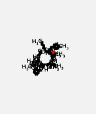 CCCCCC[C@H]1OC(=O)CNC(=O)[C@H]([C@H](C)O[Si](C)(C)C(C)(C)C)NC(=O)[C@H](COCc2ccccc2)NC(=O)[C@H]([C@H](C)CC)NC(=O)[C@H](CC(C)C)N(C)C(=O)[C@@H]1C/C=C/c1ccc(C)cc1